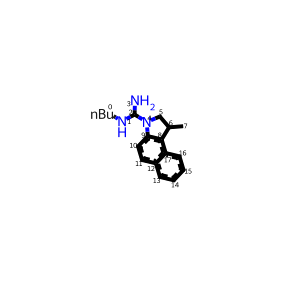 CCCCNC(N)N1CC(C)c2c1ccc1ccccc21